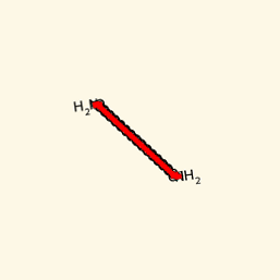 Nc1ccc(C(=O)OCCCCOOCCCCOOCCCCOOCCCCOOCCCCOOCCCCOOCCCCOOCCCCOOCCCCOOCCCCOOCCCCOOCCCCOOCCCCOOCCCCOC(=O)c2ccc(N)cc2)cc1